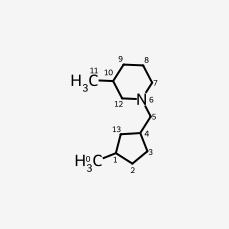 CC1CCC(CN2CCCC(C)C2)C1